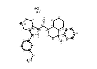 Cl.Cl.NCc1cccc(-c2nc(C(=O)N3CCC(O)(c4ccccc4)C4CCCCC43)n3c2CNCC3)c1